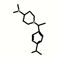 CC(C)c1ccc(C(C)N2CCC(N(C)C)CC2)cc1